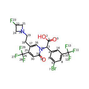 O=C(O)C(c1cc(Br)cc(C(F)(F)F)c1)n1cc(CCN2CC(F)C2)c(C(F)(F)F)cc1=O